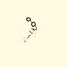 CC(=O)[C@H](CCCNC(N)=O)NC(=O)[C@@H](C)Cc1ccc(-c2ccccc2)cc1